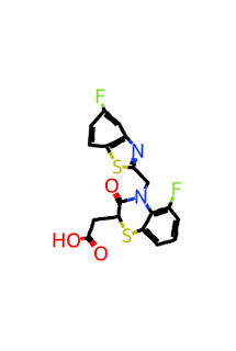 O=C(O)CC1Sc2cccc(F)c2N(Cc2nc3cc(F)ccc3s2)C1=O